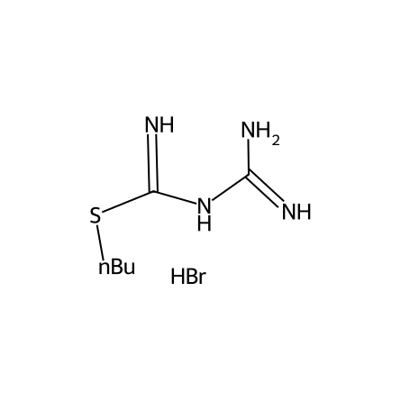 Br.CCCCSC(=N)NC(=N)N